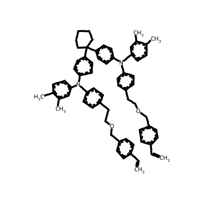 C=Cc1ccc(COCCc2ccc(N(c3ccc(C4(c5ccc(N(c6ccc(CCOCc7ccc(C=C)cc7)cc6)c6ccc(C)c(C)c6)cc5)CCCCC4)cc3)c3ccc(C)c(C)c3)cc2)cc1